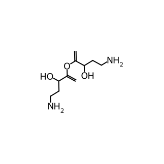 C=C(OC(=C)C(O)CCN)C(O)CCN